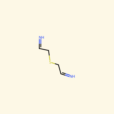 N=CCSCC=N